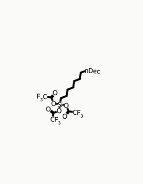 CCCCCCCCCCCCCCCCC[Si](OC(=O)C(F)(F)F)(OC(=O)C(F)(F)F)OC(=O)C(F)(F)F